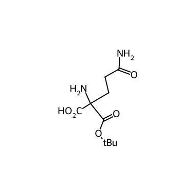 CC(C)(C)OC(=O)C(N)(CCC(N)=O)C(=O)O